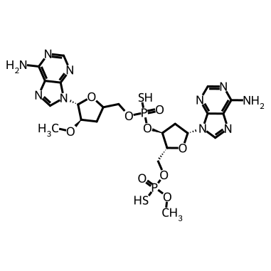 CO[C@@H]1CC(COP(=O)(S)O[C@H]2C[C@H](n3cnc4c(N)ncnc43)O[C@@H]2COP(=O)(S)OC)O[C@H]1n1cnc2c(N)ncnc21